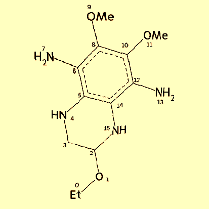 CCOC1CNc2c(N)c(OC)c(OC)c(N)c2N1